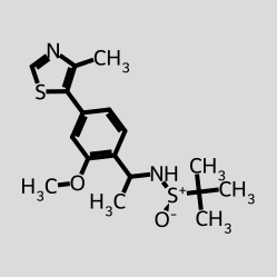 COc1cc(-c2scnc2C)ccc1C(C)N[S@+]([O-])C(C)(C)C